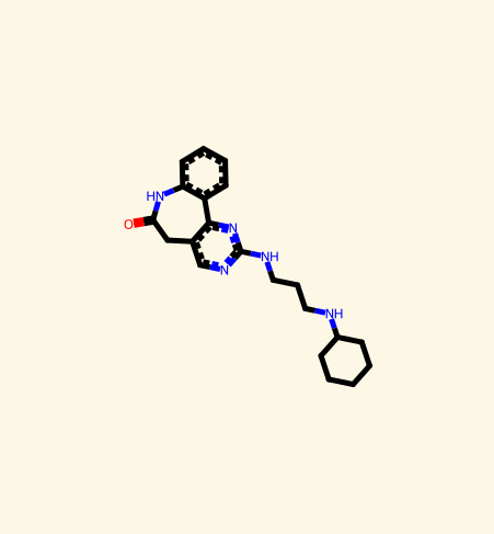 O=C1Cc2cnc(NCCCNC3CCCCC3)nc2-c2ccccc2N1